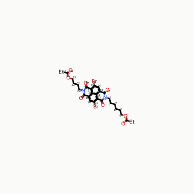 CCC(=O)OCCCCCCN1C(=O)c2cc(Br)c3c4c(cc(Br)c(c24)C1=O)C(=O)N(CCCCOC(=O)CC)C3=O